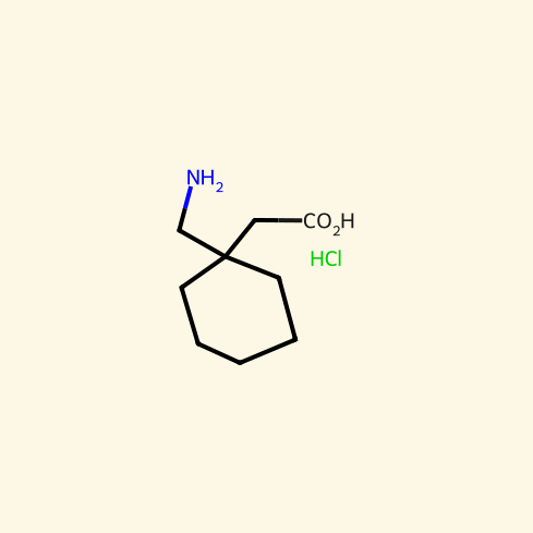 Cl.NCC1(CC(=O)O)CCCCC1